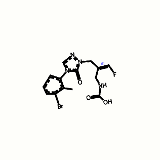 Cc1c(Br)cccc1-n1cnn(C/C(=C/F)CNC(=O)O)c1=O